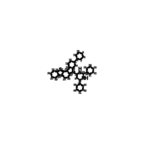 C1=C(n2c3cc(-c4ccccc4)ccc3c3c4sc5ccccc5c4ccc32)NC(c2ccccc2)NC1c1ccccc1